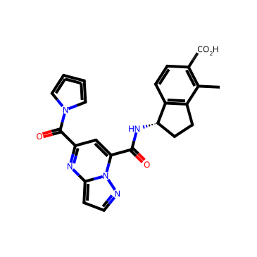 Cc1c(C(=O)O)ccc2c1CC[C@@H]2NC(=O)c1cc(C(=O)N2C=C=C=C2)nc2ccnn12